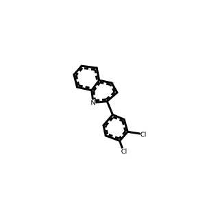 Clc1ccc(-c2c[c]c3ccccc3n2)cc1Cl